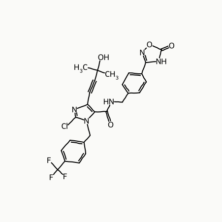 CC(C)(O)C#Cc1nc(Cl)n(Cc2ccc(C(F)(F)F)cc2)c1C(=O)NCc1ccc(-c2noc(=O)[nH]2)cc1